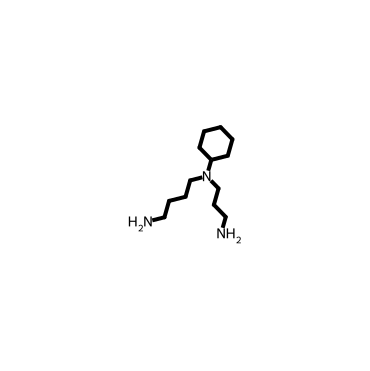 NCCCCN(CCCN)C1CCCCC1